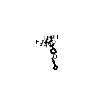 C=C(N[C@H](C(=O)NO)C(C)(C)N)c1ccc(OCC#CC2CCC2)cc1